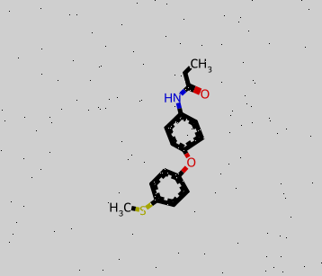 CCC(=O)Nc1ccc(Oc2ccc(SC)cc2)cc1